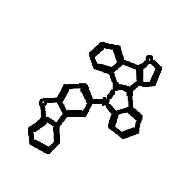 c1ccc2c(c1)B1N(c3ccc4oc5ccccc5c4c3)c3ccccc3N1c1ccoc1-2